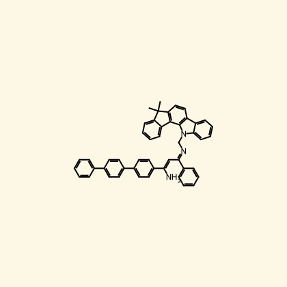 CC1(C)c2ccccc2-c2c1ccc1c3ccccc3n(C/N=C(\C=C(/N)c3ccc(-c4ccc(-c5ccccc5)cc4)cc3)c3ccccc3)c21